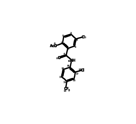 CC(=O)Oc1ccc(Cl)cc1C(=O)Nc1ccc(C(F)(F)F)cc1Cl